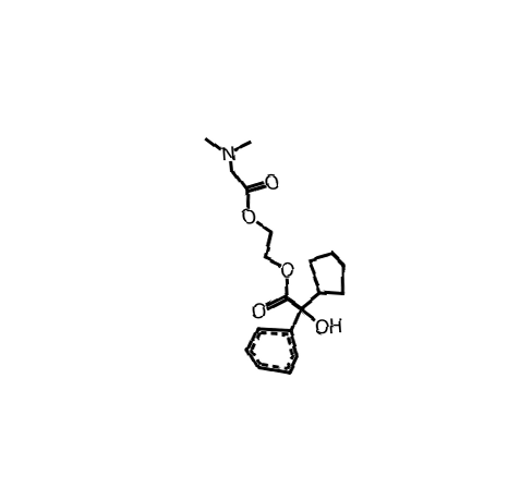 CN(C)CC(=O)OCCOC(=O)C(O)(c1ccccc1)C1CCCC1